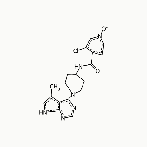 Cc1c[nH]c2ncnc(N3CCC(NC(=O)c4cc[n+]([O-])cc4Cl)CC3)c12